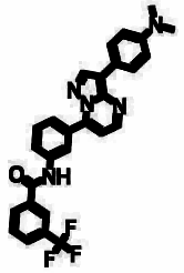 CN(C)c1ccc(-c2cnn3c(-c4cccc(NC(=O)c5cccc(C(F)(F)F)c5)c4)ccnc23)cc1